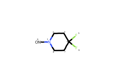 O=NN1CCC(F)(F)CC1